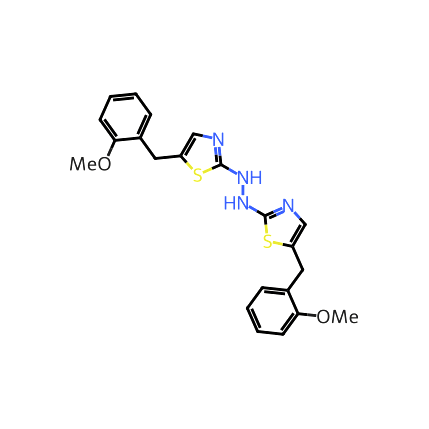 COc1ccccc1Cc1cnc(NNc2ncc(Cc3ccccc3OC)s2)s1